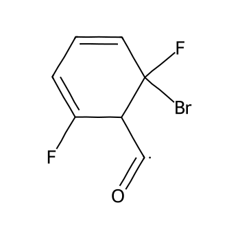 O=[C]C1C(F)=CC=CC1(F)Br